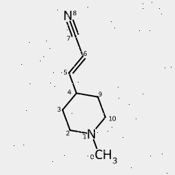 CN1CCC(C=CC#N)CC1